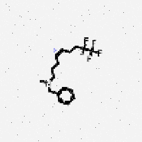 CN(CCC/C=C\CCC(F)(F)C(F)(F)F)Cc1ccccc1